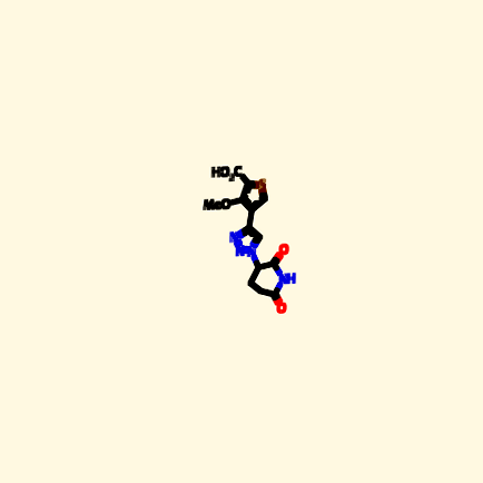 COc1c(-c2cn(C3CCC(=O)NC3=O)nn2)csc1C(=O)O